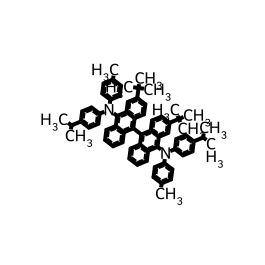 Cc1ccc(N(c2ccc(C(C)C)cc2)c2c3ccccc3c(-c3c4ccccc4c(N(c4ccc(C)cc4)c4ccc(C(C)C)cc4)c4cc(C(C)(C)C)ccc34)c3ccc(C(C)(C)C)cc23)cc1